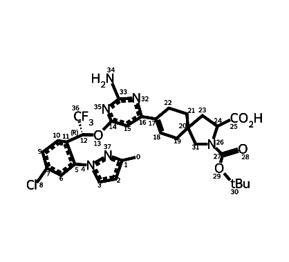 Cc1ccn(-c2cc(Cl)ccc2[C@@H](Oc2cc(C3=CCC4(CC3)CC(C(=O)O)N(C(=O)OC(C)(C)C)C4)nc(N)n2)C(F)(F)F)n1